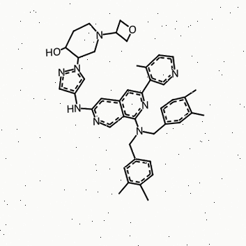 Cc1ccc(CN(Cc2ccc(C)c(C)c2)c2nc(-c3cnccc3C)cc3cc(Nc4cnn(C5CN(C6COC6)CCC5O)c4)ncc23)cc1C